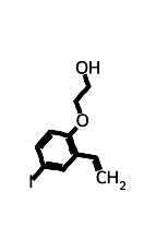 C=Cc1cc(I)ccc1OCCO